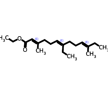 CCOC(=O)/C=C(\C)CC/C=C(\CC)CC/C=C(\C)CC